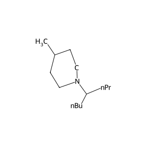 CCCCC(CCC)N1CCC(C)CC1